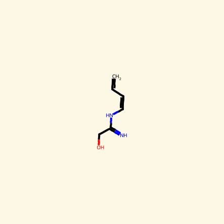 C=C/C=C\NC(=N)CO